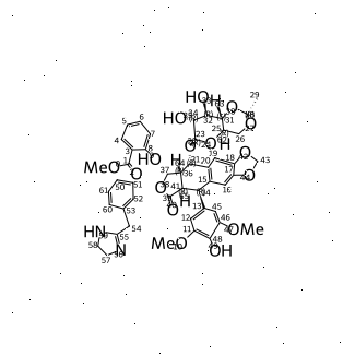 COC(=O)c1ccccc1O.COc1cc([C@@H]2c3cc4c(cc3[C@@H](O[C@@H]3O[C@@H]5CO[C@@H](C)O[C@H]5[C@H](O)[C@H]3O)[C@H]3COC(=O)[C@H]23)OCO4)cc(OC)c1O.c1ccc(CC2=NCCN2)cc1